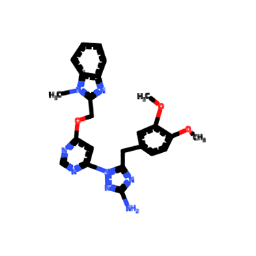 COc1ccc(Cc2nc(N)nn2-c2cc(OCc3nc4ccccc4n3C)ncn2)cc1OC